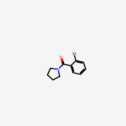 [CH2]Cc1ccccc1C(=O)N1CCCC1